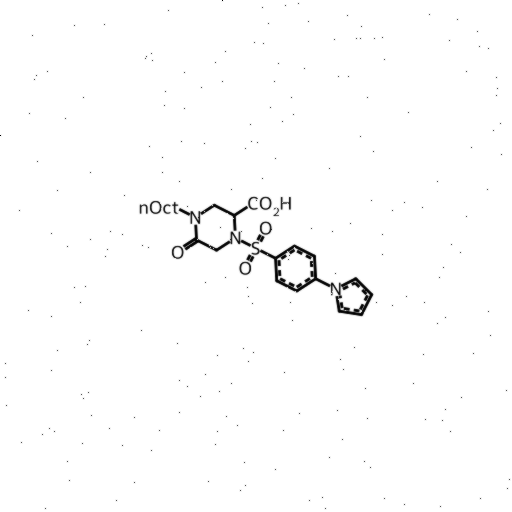 CCCCCCCCN1CC(C(=O)O)N(S(=O)(=O)c2ccc(-n3cccc3)cc2)CC1=O